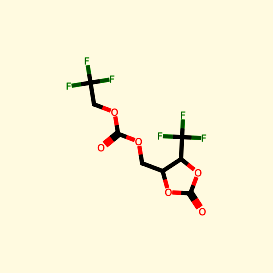 O=C(OCC1OC(=O)OC1C(F)(F)F)OCC(F)(F)F